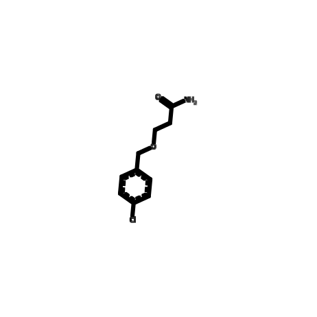 NC(=O)CCOCc1ccc(Cl)cc1